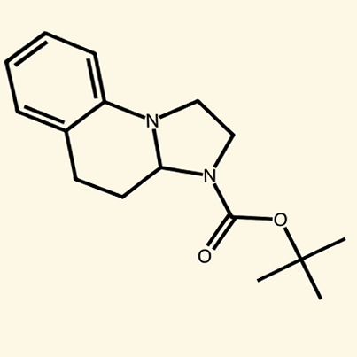 CC(C)(C)OC(=O)N1CCN2c3ccccc3CCC12